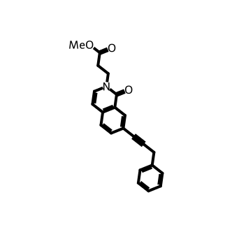 COC(=O)CCn1ccc2ccc(C#CCc3ccccc3)cc2c1=O